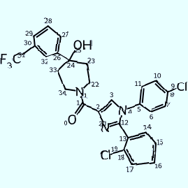 O=C(c1cn(-c2ccc(Cl)cc2)c(-c2ccccc2Cl)n1)N1CCC(O)(c2cccc(C(F)(F)F)c2)CC1